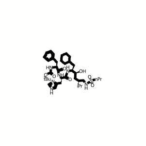 CCCS(=O)(=O)NC[C@@H](C[C@H](O)[C@H](CC1CCCCC1)NC(=O)[C@H](Cc1c[nH]cn1)NC(=O)[C@H](Cc1ccccc1)NC(=O)OC(C)(C)C)C(C)C